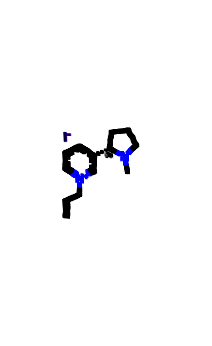 C=CC[n+]1cccc([C@@H]2CCCN2C)c1.[I-]